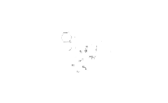 CC1(C)O[C@H]2[C@H](OC(=O)c3ccccc3)C[C@](O)(C(=O)O)C[C@H]2O1